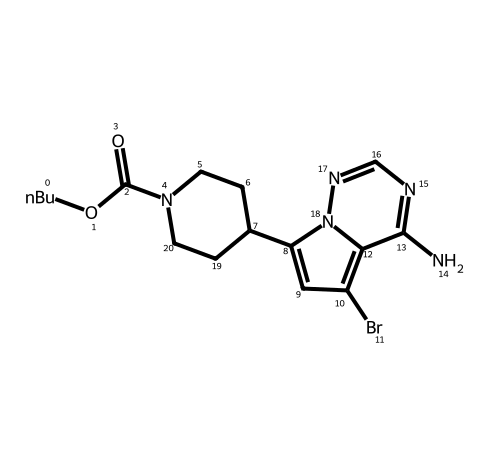 CCCCOC(=O)N1CCC(c2cc(Br)c3c(N)ncnn23)CC1